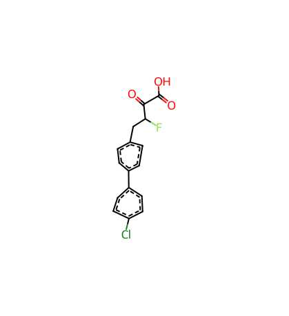 O=C(O)C(=O)C(F)Cc1ccc(-c2ccc(Cl)cc2)cc1